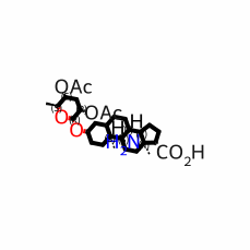 CC(=O)O[C@H]1C[C@@H](OC(C)=O)[C@H](OC2CC[C@@]3(C)C(CC[C@@H]4[C@@H]3CC[C@]3(C)C(C(=O)O)CC[C@@]43N)C2)O[C@H]1C